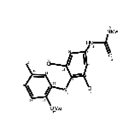 CNC(=O)Nc1cc(Cl)c(Sc2cc(C)ccc2OC)c(Cl)c1